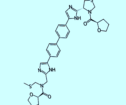 CSCN(Cc1ncc(-c2ccc(-c3ccc(-c4cnc([C@@H]5CSCN5C(=O)[C@H]5CCCO5)[nH]4)cc3)cc2)[nH]1)C(=O)[C@H]1CCCO1